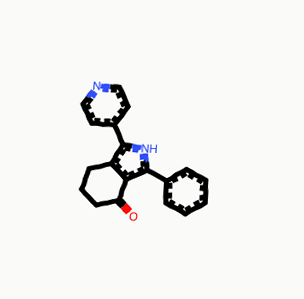 O=C1CCCc2c(-c3ccncc3)[nH]c(-c3ccccc3)c21